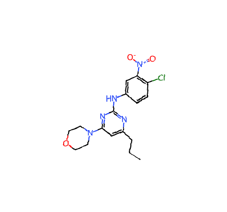 CCCc1cc(N2CCOCC2)nc(Nc2ccc(Cl)c([N+](=O)[O-])c2)n1